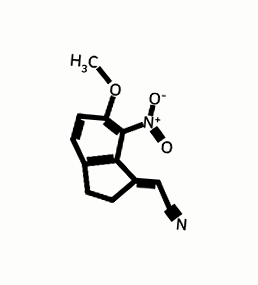 COc1ccc2c(c1[N+](=O)[O-])C(=CC#N)CC2